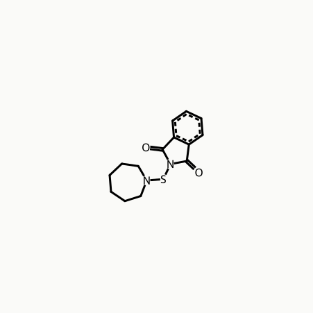 O=C1c2ccccc2C(=O)N1SN1CCCCCC1